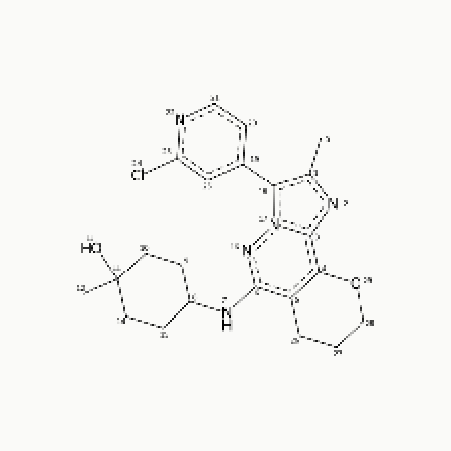 Cc1nc2c3c(c(NC4CCC(C)(O)CC4)nn2c1-c1ccnc(Cl)c1)CCCO3